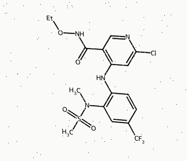 CCONC(=O)c1cnc(Cl)cc1Nc1ccc(C(F)(F)F)cc1N(C)S(C)(=O)=O